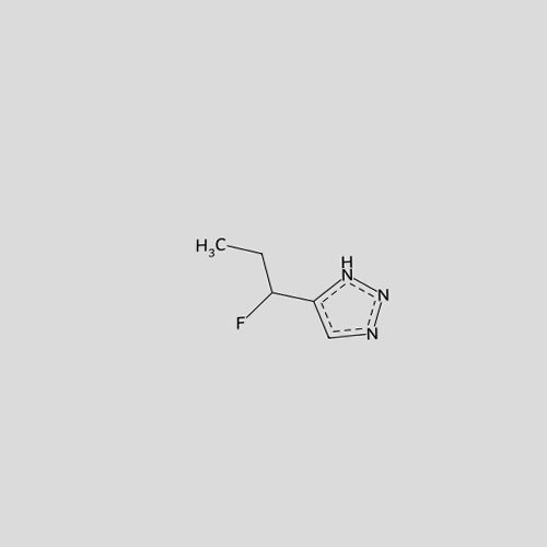 CCC(F)c1cnn[nH]1